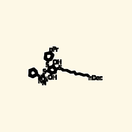 CCCCCCCCCCCCCCCCCCSc1cc(O)c(Sc2nnnn2-c2ccccc2)c(Sc2ccc(CCC)cc2)c1O